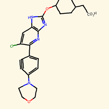 O=C(O)CC1CCC(Oc2nc3nc(-c4c#cc(N5CCOCC5)cc4)c(Cl)cc3[nH]2)CC1